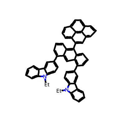 CCn1c2ccccc2c2cc(-c3cccc4c(-c5cc6cccc7ccc8cccc5c8c76)c5cccc(-c6ccc7c(c6)c6ccccc6n7CC)c5cc34)ccc21